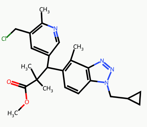 COC(=O)C(C)(C)C(c1cnc(C)c(CCl)c1)c1ccc2c(nnn2CC2CC2)c1C